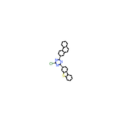 Clc1nc(-c2ccc3c(ccc4ccccc43)c2)nc(-c2ccc3c(c2)sc2ccccc23)n1